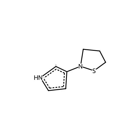 [c]1[nH]ccc1N1CCCS1